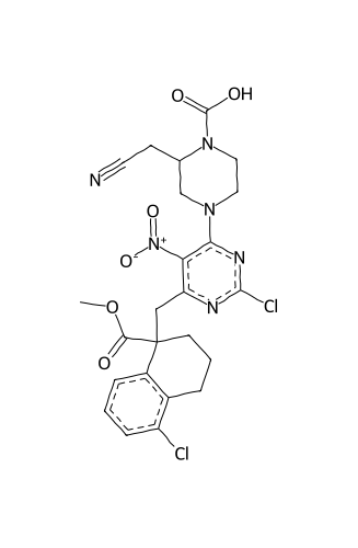 COC(=O)C1(Cc2nc(Cl)nc(N3CCN(C(=O)O)C(CC#N)C3)c2[N+](=O)[O-])CCCc2c(Cl)cccc21